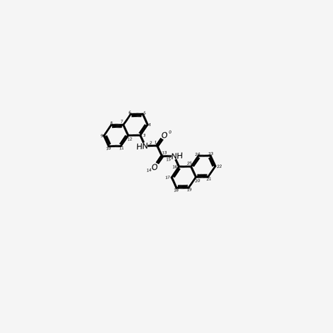 O=C(Nc1cccc2ccccc12)C(=O)Nc1cccc2ccccc12